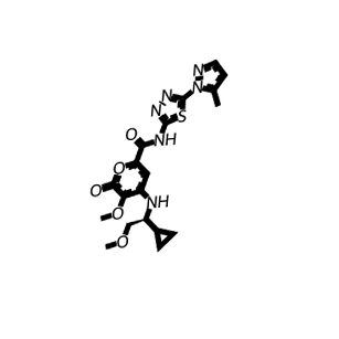 COC[C@@H](Nc1cc(C(=O)Nc2nnc(-n3nccc3C)s2)oc(=O)c1OC)C1CC1